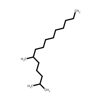 [CH2]CCCCCCCCC(C)CCCC(C)C